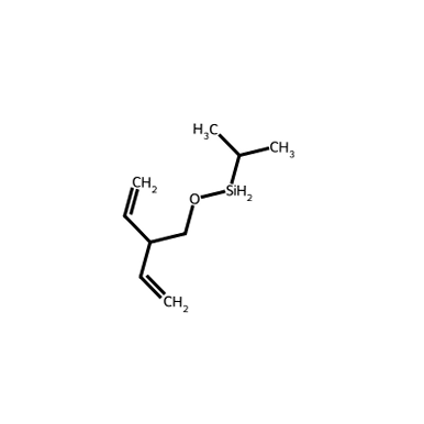 C=CC(C=C)CO[SiH2]C(C)C